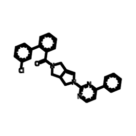 O=C(c1ccccc1-c1cccc(Cl)c1)N1CC2=CN(c3nccc(-c4ccccc4)n3)CC2C1